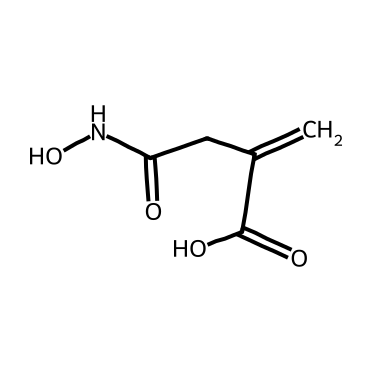 C=C(CC(=O)NO)C(=O)O